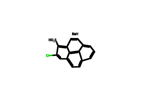 O=S(=O)(O)c1c(Cl)cc2ccc3cccc4ccc1c2c34.[NaH]